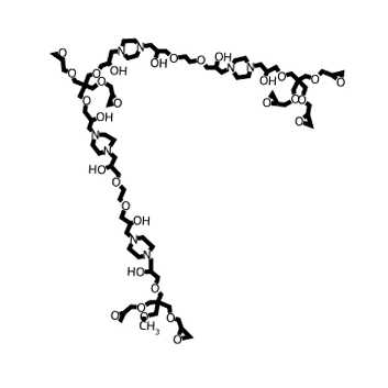 COCC(COCC(O)CN1CCN(CC(O)COCCOCC(O)CN2CCN(CC(O)COCC(COCC(O)CN3CCN(CC(O)COCCOCC(O)CN4CCN(CC(O)COCC(COCC5CO5)(COCC5CO5)COCC5CO5)CC4)CC3)(COCC3CO3)COCC3CO3)CC2)CC1)(COCC1CO1)COCC1CO1